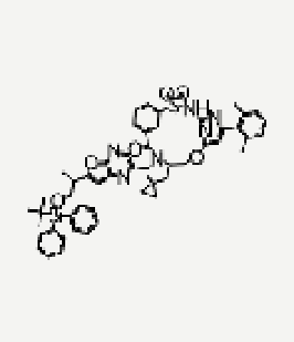 Cc1cccc(C)c1-c1cc2nc(n1)NS(=O)(=O)c1cccc(c1)C(=O)N(Cc1cnc3oc([C@H](C)CO[Si](c4ccccc4)(c4ccccc4)C(C)(C)C)cc3n1)[C@H](CC1(C)CC1)CO2